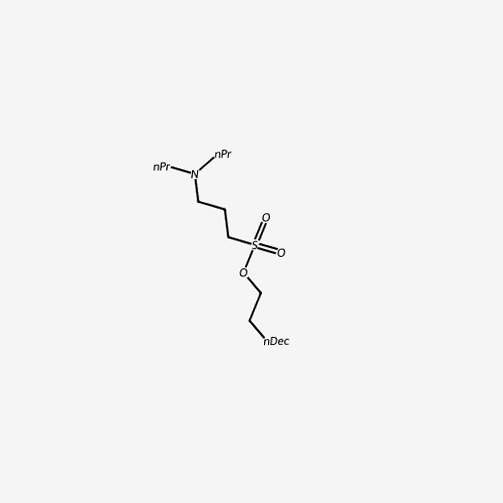 CCCCCCCCCCCCOS(=O)(=O)CCCN(CCC)CCC